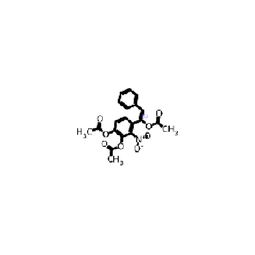 CC(=O)O/C(=C/c1ccccc1)c1ccc(OC(C)=O)c(OC(C)=O)c1[N+](=O)[O-]